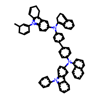 CC1C=C(n2c3c(c4cc(N(C5=c6ccccc6=CCC5)c5ccc(-c6ccc(N(c7ccc8c(c7)c7ccccc7n8-c7ccccc7)c7cccc8ccccc78)cc6)cc5)ccc42)CCC=C3)C=CC1